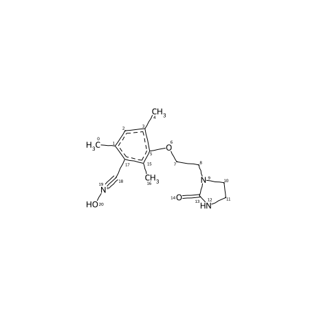 Cc1cc(C)c(OCCN2CCNC2=O)c(C)c1C#[N+]O